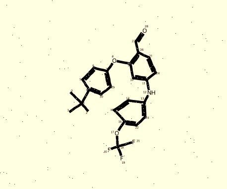 CC(C)(C)c1ccc(Oc2cc(Nc3ccc(OC(F)(F)F)cc3)ccc2C=O)cc1